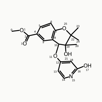 COC(=O)c1ccc2c(c1)C(Oc1ccnc(O)c1)C(C)(O)C(C)(C)O2